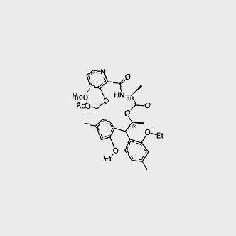 CCOc1cc(C)ccc1C(c1ccc(C)cc1OCC)[C@H](C)OC(=O)[C@H](C)NC(=O)c1nccc(OC)c1OCOC(C)=O